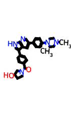 Cc1cc(-c2cnc3[nH]cc(-c4ccc(C(=O)N5CCC(O)C5)cc4)c3c2)ccc1N1CCN(C)CC1